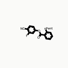 CCCCCc1ccccc1C(=O)Oc1ccc(C#N)c(F)c1